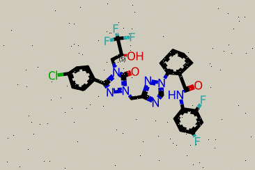 O=C(Nc1ccc(F)cc1F)c1ccccc1-n1cnc(Cn2nc(-c3ccc(Cl)cc3)n(C[C@H](O)C(F)(F)F)c2=O)n1